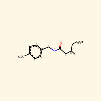 COc1ccc(CNC(=O)CC(C)CC(=O)O)cc1